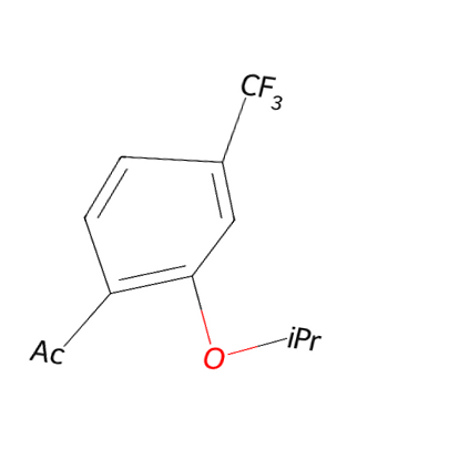 CC(=O)c1ccc(C(F)(F)F)cc1OC(C)C